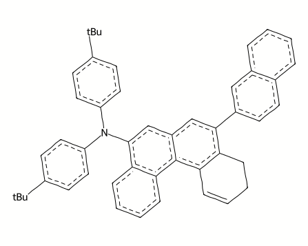 CC(C)(C)c1ccc(N(c2ccc(C(C)(C)C)cc2)c2cc3cc(-c4ccc5ccccc5c4)c4c(c3c3ccccc23)C=CCC4)cc1